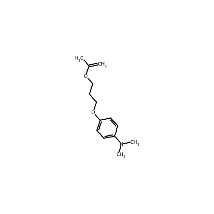 C=C(C)OCCCOc1ccc(N(C)C)cc1